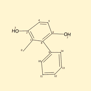 Cc1c(O)ccc(O)c1-c1ccccc1